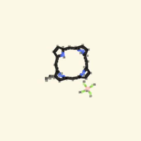 C1=Cc2cc3ccc(cc4nc(cc5ccc(cc1n2)[nH]5)C=C4)[nH]3.F[B-](F)(F)F.[AlH3].[H+]